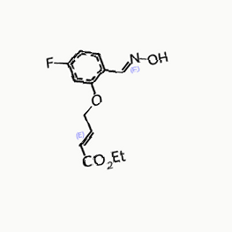 CCOC(=O)/C=C/COc1cc(F)ccc1/C=N/O